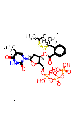 Cc1cn([C@H]2C[C@@H](OC(=O)c3ccccc3C(C)SSC(C)C)C(COP(=O)(O)OP(=O)(O)OP(=O)(O)O)O2)c(=O)[nH]c1=O